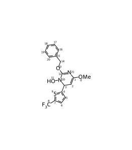 COC1=CC(c2ccc(C(F)(F)F)s2)N(O)C(OCc2ccccc2)=N1